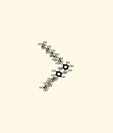 O=P(O)(O)O.O=P(O)(O)O.O=P(O)(O)O.O=P(O)(O)O.O=P(O)(O)O.O=P(O)(O)O.O=P(O)(O)O.O=P(O)(O)O.O[C@H]1[C@H](O)[C@H](O)[C@@H](O)[C@H](O)[C@H]1O.O[C@H]1[C@H](O)[C@H](O)[C@@H](O)[C@H](O)[C@H]1O